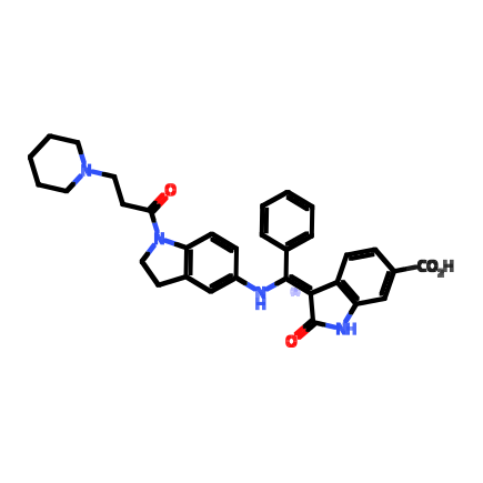 O=C1Nc2cc(C(=O)O)ccc2/C1=C(/Nc1ccc2c(c1)CCN2C(=O)CCN1CCCCC1)c1ccccc1